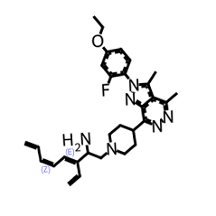 C=C/C=C\C=C(/C=C)C(N)CN1CCC(c2nnc(C)c3c(C)n(-c4ccc(OCC)cc4F)nc23)CC1